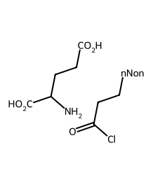 CCCCCCCCCCCC(=O)Cl.NC(CCC(=O)O)C(=O)O